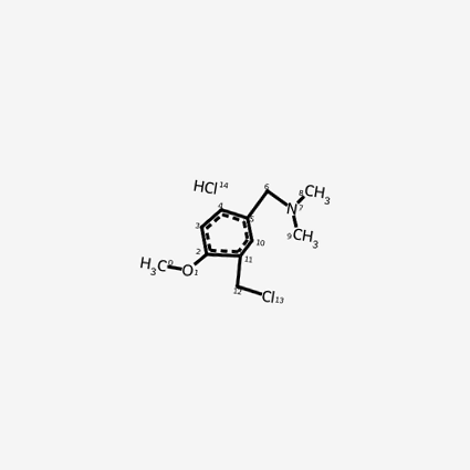 COc1ccc(CN(C)C)cc1CCl.Cl